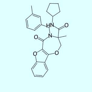 Cc1cccc(CN2C(=O)c3oc4ccccc4c3OCC2(C)C(=O)NC2CCCC2)c1